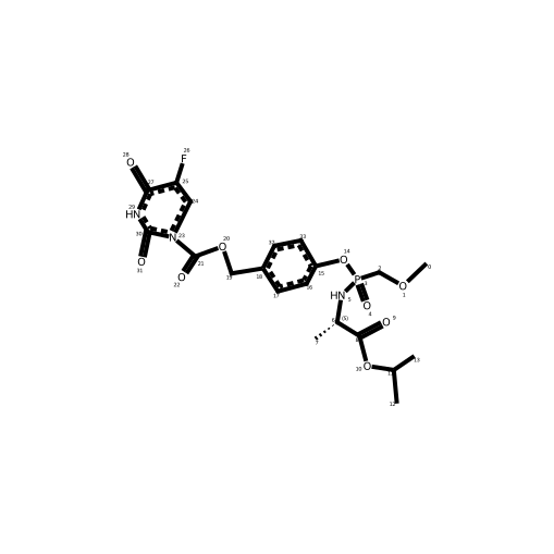 COCP(=O)(N[C@@H](C)C(=O)OC(C)C)Oc1ccc(COC(=O)n2cc(F)c(=O)[nH]c2=O)cc1